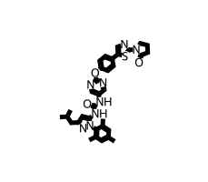 Cc1cc(C)c(-n2nc(CC(C)C)cc2NC(=O)Nc2cnc(Oc3ccc(-c4cnc(N5CCCC5=O)s4)cc3)nc2)c(C)c1